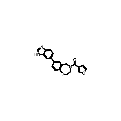 O=C(c1ccoc1)N1CCOc2ccc(-c3ccc4nc[nH]c4c3)cc2C1